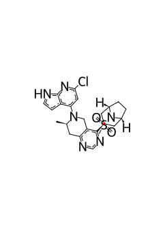 C[C@@H]1Cc2ncnc([C@@H]3C[C@H]4CC[C@@H](C3)N4S(C)(=O)=O)c2CN1c1cc(Cl)nc2[nH]ccc12